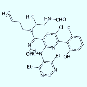 C=CCCN(/C(=N/C)c1cc(Cl)c(-c2c(O)cccc2F)nc1N(C=O)c1c(CC)ncnc1CC)C(C)CNC=O